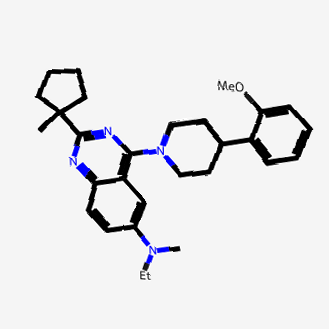 CCN(C)c1ccc2nc(C3(C)CCCC3)nc(N3CCC(c4ccccc4OC)CC3)c2c1